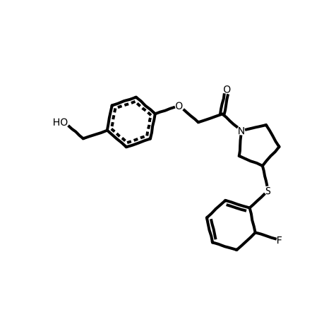 O=C(COc1ccc(CO)cc1)N1CCC(SC2=CC=CCC2F)C1